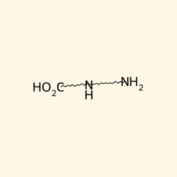 NCCCCCCCCCCCCCCNCCCCCCCCCCCC(=O)O